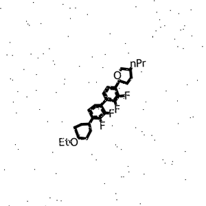 CCCC1CCC(c2ccc(-c3ccc(C4CCC(OCC)CC4)c(F)c3F)c(F)c2F)OC1